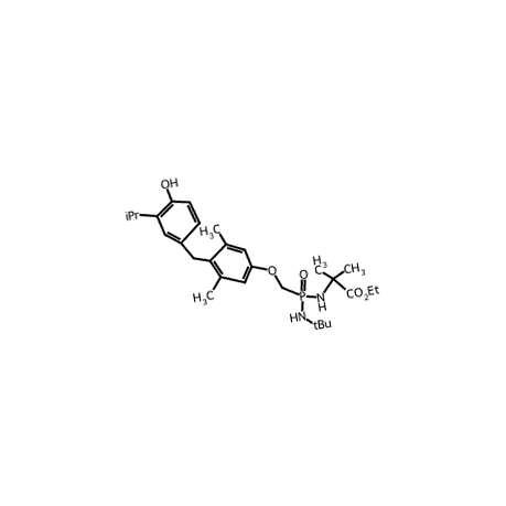 CCOC(=O)C(C)(C)NP(=O)(COc1cc(C)c(Cc2ccc(O)c(C(C)C)c2)c(C)c1)NC(C)(C)C